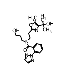 Cc1oc(CCN(CCCO)C(=O)c2ccccc2-n2nccn2)nc1C(C)(C)O